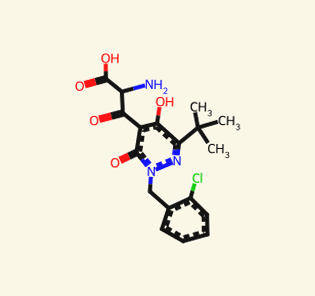 CC(C)(C)c1nn(Cc2ccccc2Cl)c(=O)c(C(=O)C(N)C(=O)O)c1O